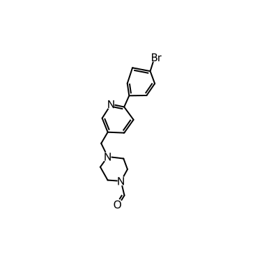 O=CN1CCN(Cc2ccc(-c3ccc(Br)cc3)nc2)CC1